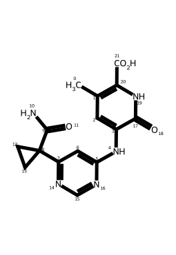 Cc1cc(Nc2cc(C3(C(N)=O)CC3)ncn2)c(=O)[nH]c1C(=O)O